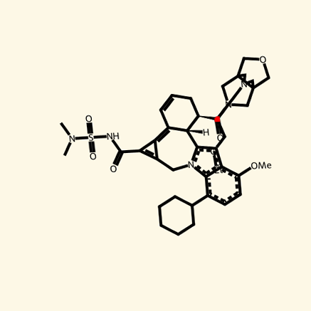 CCOCCN1CC23COCC2(C1)CN(C(=O)[C@@H]1CC=CC2=C4C(=C4C(=O)NS(=O)(=O)N(C)C)Cn4c(cc5c(OC)ccc(C6CCCCC6)c54)[C@H]21)C3